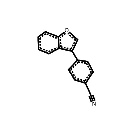 N#Cc1ccc(-c2coc3ccccc23)cc1